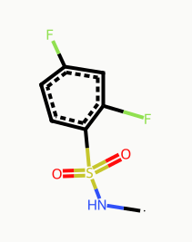 [CH2]NS(=O)(=O)c1ccc(F)cc1F